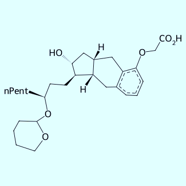 CCCCC[C@@H](CC[C@@H]1[C@H]2Cc3cccc(OCC(=O)O)c3C[C@H]2C[C@H]1O)OC1CCCCO1